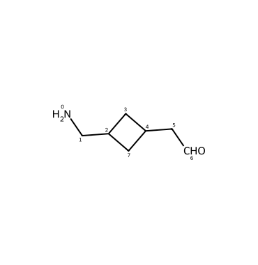 NCC1CC(CC=O)C1